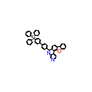 C1=CCC([Si](c2ccccc2)(c2ccccc2)c2ccc(-c3ccc(-c4nc5cnccc5c5c4ccc4c6ccccc6oc45)cc3)cc2)C=C1